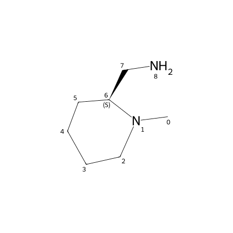 CN1CCCC[C@H]1CN